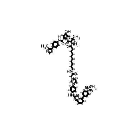 Cc1ncsc1-c1ccc(NC(=O)[C@H]2CC(O)CN2C(=O)C(NC(=O)CCCCCCCCCNC(=O)CN2CCN(c3ccc(Nc4nc5cccc(-c6ccc(S(C)(=O)=O)cc6)n5n4)cc3)C2)C(C)(C)C)cc1